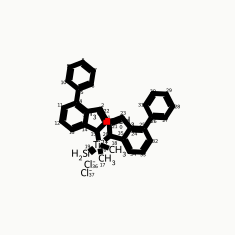 CC1=Cc2c(-c3ccccc3)cccc2[CH]1[Ti+2]([CH3])([CH3])(=[SiH2])[CH]1C(C)=Cc2c(-c3ccccc3)cccc21.[Cl-].[Cl-]